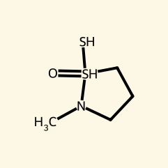 CN1CCC[SH]1(=O)S